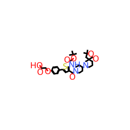 CC(C)(C)OC(=O)Nc1sc(-c2ccc(OCC(=O)O)cc2)cc1C(=O)N1CCC(N2CCCC3(C2)CC(C)(C)OC3=O)CC1